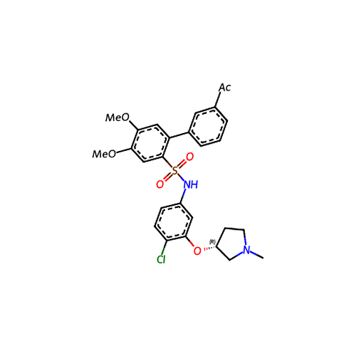 COc1cc(-c2cccc(C(C)=O)c2)c(S(=O)(=O)Nc2ccc(Cl)c(O[C@@H]3CCN(C)C3)c2)cc1OC